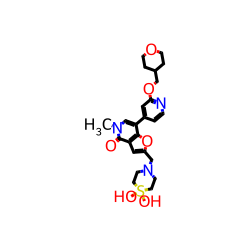 Cn1cc(-c2ccnc(OCC3CCOCC3)c2)c2oc(CN3CCS(O)(O)CC3)cc2c1=O